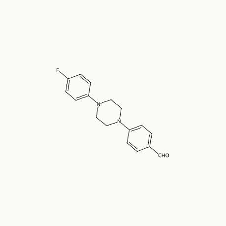 O=Cc1ccc(N2CCN(c3ccc(F)cc3)CC2)cc1